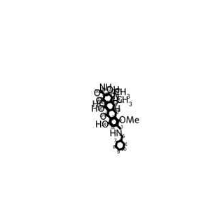 COc1c(CNCC2CCCCC2)cc(O)c2c1C[C@H]1C[C@H]3[C@H](N(C)C)C(O)=C(C(N)=O)C(=O)[C@@]3(O)C(O)=C1C2=O